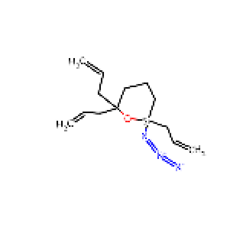 C=CCC1(CC=C)CCC[Si](CC=C)(N=[N+]=[N-])O1